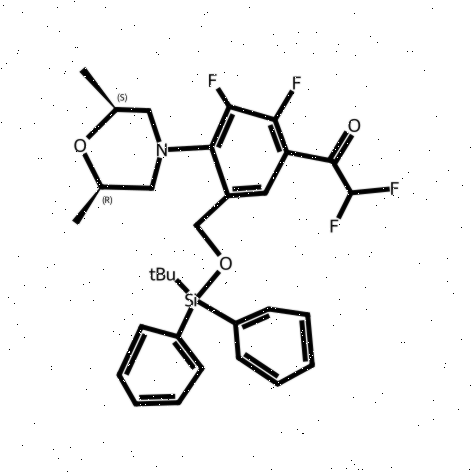 C[C@@H]1CN(c2c(CO[Si](c3ccccc3)(c3ccccc3)C(C)(C)C)cc(C(=O)C(F)F)c(F)c2F)C[C@H](C)O1